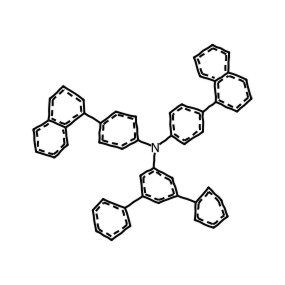 c1ccc(-c2cc(-c3ccccc3)cc(N(c3ccc(-c4cccc5ccccc45)cc3)c3ccc(-c4cccc5ccccc45)cc3)c2)cc1